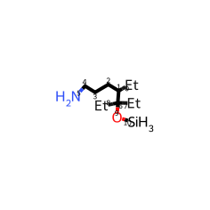 CCC(CCCN)C(CC)(CC)O[SiH3]